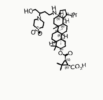 CC(C)[C@@H]1CC[C@]2(NCCC(CO)N3CCS(=O)(=O)CC3)CC[C@]3(C)[C@H](CC[C@@H]4[C@@]5(C)CC[C@H](OC(=O)[C@H]6[C@@H](C(=O)O)C6(C)C)C(C)(C)[C@@H]5CC[C@]43C)[C@@H]12